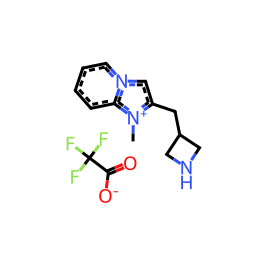 C[n+]1c(CC2CNC2)cn2ccccc21.O=C([O-])C(F)(F)F